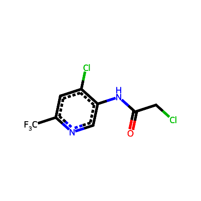 O=C(CCl)Nc1cnc(C(F)(F)F)cc1Cl